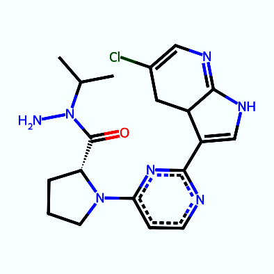 CC(C)N(N)C(=O)[C@H]1CCCN1c1ccnc(C2=CNC3=NC=C(Cl)CC23)n1